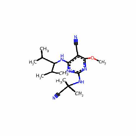 COc1nc(NC(C)(C)C#N)nc(NC(C(C)C)C(C)C)c1C#N